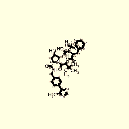 Cc1ncsc1-c1ccc(CNC(=O)[C@@H]2C[C@@H](O)CN2C(=O)C(NC(=O)C(Cc2ccccc2)N(C(=O)O)C(C)(C)C)C(C)(C)C)cc1